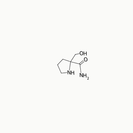 NC(=O)C1(CO)CCCN1